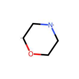 [CH]1C[N]CCO1